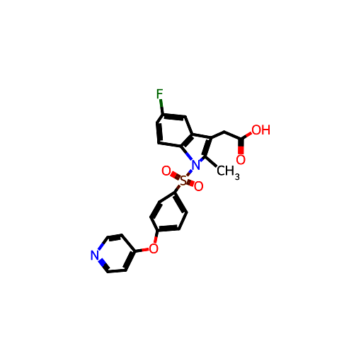 Cc1c(CC(=O)O)c2cc(F)ccc2n1S(=O)(=O)c1ccc(Oc2ccncc2)cc1